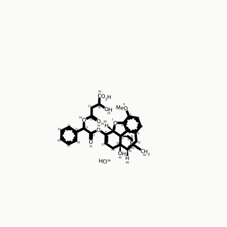 COc1ccc2c3c1O[C@H]1C(OC(=O)C(OC(=O)CC(O)C(=O)O)c4ccccc4)=CC[C@@]4(O)[C@@H](C2)N(C)CC[C@]314.Cl